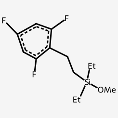 CC[Si](CC)(CCc1c(F)cc(F)cc1F)OC